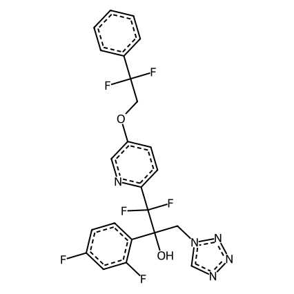 OC(Cn1cnnn1)(c1ccc(F)cc1F)C(F)(F)c1ccc(OCC(F)(F)c2ccccc2)cn1